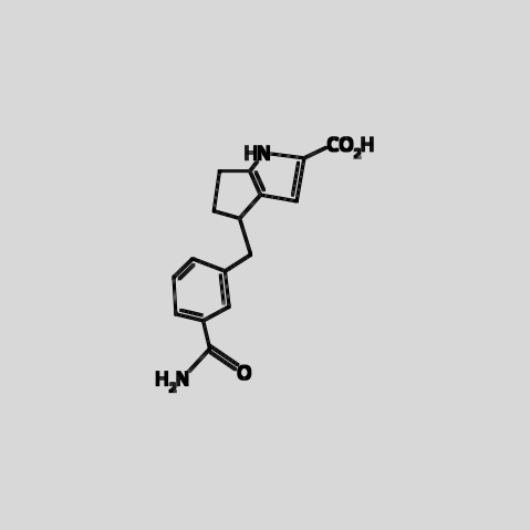 NC(=O)c1cccc(CC2CCc3[nH]c(C(=O)O)cc32)c1